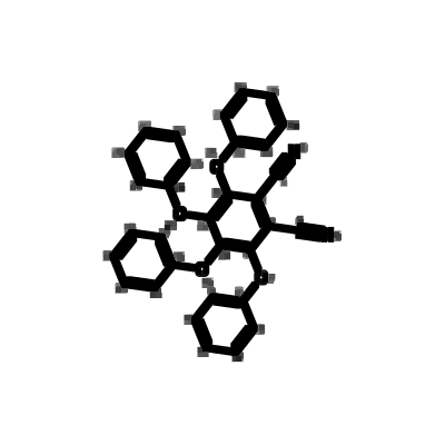 N#Cc1c(C#N)c(Oc2ccccc2)c(Oc2ccccc2)c(Oc2ccccc2)c1Oc1ccccc1